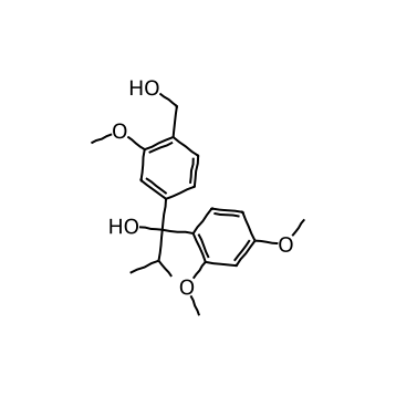 COc1ccc(C(O)(c2ccc(CO)c(OC)c2)C(C)C)c(OC)c1